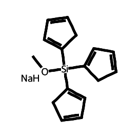 CO[Si](C1=CC=CC1)(C1=CC=CC1)C1=CC=CC1.[NaH]